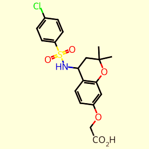 CC1(C)CC(NS(=O)(=O)c2ccc(Cl)cc2)c2ccc(OCC(=O)O)cc2O1